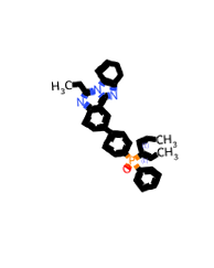 C/C=C\C(=C/C)P(=O)(c1ccccc1)c1ccc(-c2ccc3nc(CC)n4c5c(nc4c3c2)CCC=C5)cc1